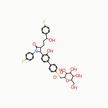 O=C1C(CCC(O)c2ccc(F)cc2)C(c2ccc(-c3ccc(S(=O)(=O)CC4OC(CO)C(O)C(O)C4O)cc3)cc2O)N1c1ccc(F)cc1